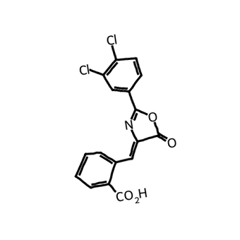 O=C1OC(c2ccc(Cl)c(Cl)c2)=NC1=Cc1ccccc1C(=O)O